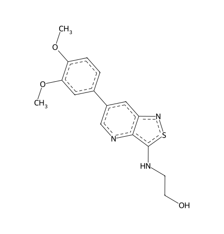 COc1ccc(-c2cnc3c(NCCO)snc3c2)cc1OC